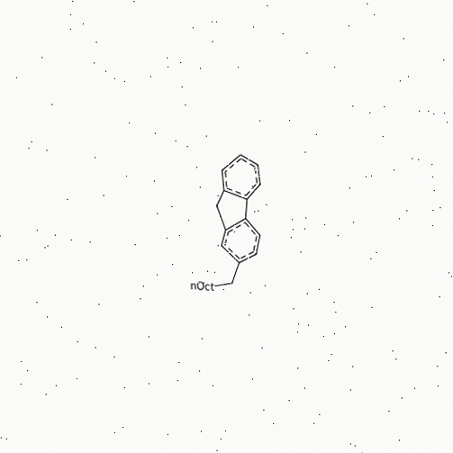 CCCCCCCCCc1[c]c2c(cc1)-c1ccccc1C2